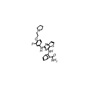 NC(=O)C1C2C=CC(C2)C1Nc1nc(Nc2ccc(OCCN3CCCC3)c(F)c2)nc2ccsc12